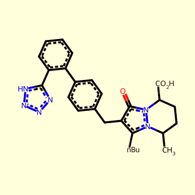 CCCCc1c(Cc2ccc(-c3ccccc3-c3nnn[nH]3)cc2)c(=O)n2n1C(C)CCC2C(=O)O